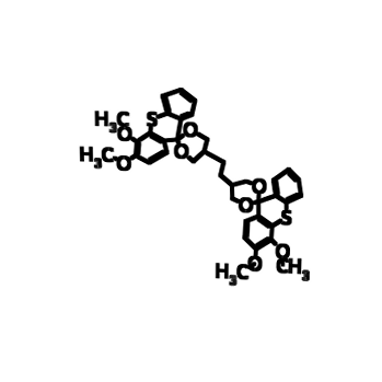 COc1ccc2c(c1OC)Sc1ccccc1C21OCC(CCC2COC3(OC2)c2ccccc2Sc2c3ccc(OC)c2OC)CO1